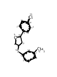 Cc1cccc(SC2COC(c3ccc(Cl)cc3)C2)c1